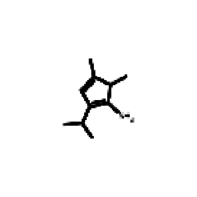 CC1=CC(C(C)C)=C(N)C1C